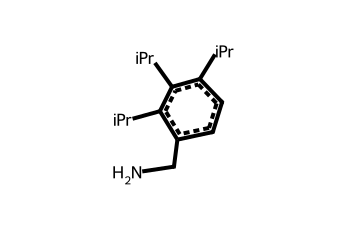 CC(C)c1ccc(CN)c(C(C)C)c1C(C)C